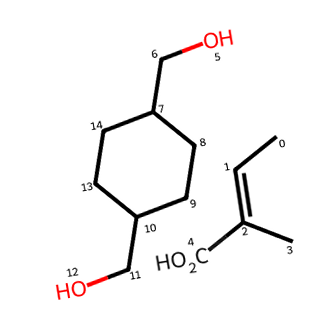 CC=C(C)C(=O)O.OCC1CCC(CO)CC1